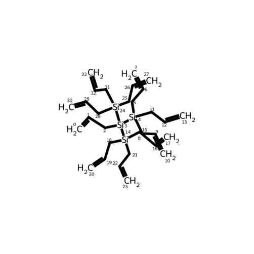 C=C[CH][Si]([Si](CC=C)(CC=C)CC=C)([Si](CC=C)(CC=C)CC=C)[Si](CC=C)(CC=C)CC=C